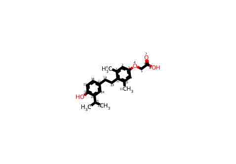 Cc1cc(OCC(=O)O)cc(C)c1CCc1ccc(O)c(C(C)C)c1